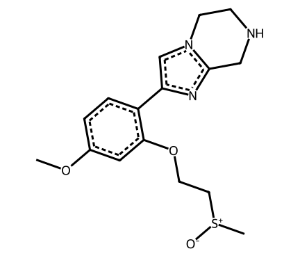 COc1ccc(-c2cn3c(n2)CNCC3)c(OCC[S+](C)[O-])c1